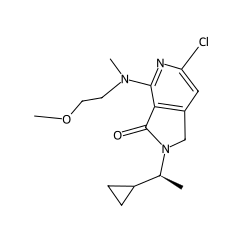 COCCN(C)c1nc(Cl)cc2c1C(=O)N([C@@H](C)C1CC1)C2